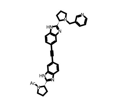 CC(=O)N1CCC[C@H]1c1nc2ccc(C#Cc3ccc4[nH]c([C@@H]5CCCN5Cc5cccnc5)nc4c3)cc2[nH]1